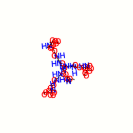 CCCOP(OCCOCCN(CCN(CC(=O)NCCCCNC(=O)CCOCCOC1OC(COC(C)=O)C(OC(C)=O)C(C)C1NC(C)=O)CC(=O)NCCCCNC(=O)CCOCCOC1OC(COC(C)=O)C(OC(C)=O)C(C)C1NC(C)=O)CC(=O)NCCCCNC(=O)CCOCCOC1OC(COC(C)=O)C(OC(C)=O)C(C)C1NC(C)=O)N(C(C)C)C(C)C